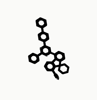 N#Cc1cccc2c1C1(CCCCC1)c1cccc(-c3cc(-c4ccc(-c5ccccc5)cc4)nc(-c4ccccc4)n3)c1-2